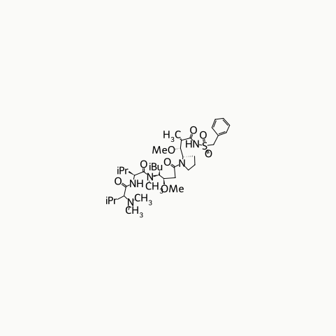 CC[C@H](C)[C@@H]([C@@H](CC(=O)N1CCC[C@H]1[C@H](OC)[C@@H](C)C(=O)NS(=O)(=O)Cc1ccccc1)OC)N(C)C(=O)[C@@H](NC(=O)C(C(C)C)N(C)C)C(C)C